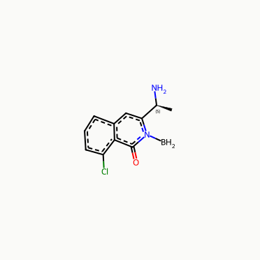 Bn1c([C@H](C)N)cc2cccc(Cl)c2c1=O